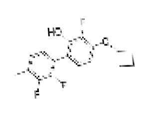 Cc1ccc(-c2ccc(OC3CCC3)c(F)c2O)c(F)c1F